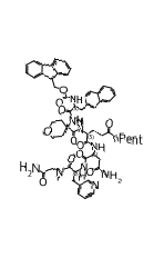 CCCCCC(=O)CC[C@H](NC(=O)C1(NC(=O)[C@H](Cc2ccc3ccccc3c2)NC(=O)OCC2c3ccccc3-c3ccccc32)CCOCC1)C(=O)N[C@@H](CC(N)=O)C(=O)N[C@@H](Cc1cccnc1)C(=O)N(C)CC(N)=O